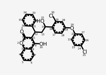 O=c1oc2ccccc2c(O)c1C(CC(O)c1ccc(Oc2ccc(Cl)cc2)cc1Cl)c1ccccc1